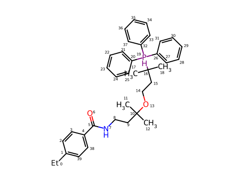 CCc1ccc(C(=O)NCCC(C)(C)OCCC(C)(C)[PH](c2ccccc2)(c2ccccc2)c2ccccc2)cc1